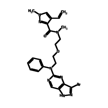 C=Cc1cn(C)nc1C(=O)N(C)CCOCCN(c1ccccc1)c1ncc2[nH]nc(Br)c2n1